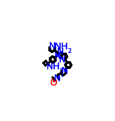 CC(=O)/[N+](C)=C/C1CCN(c2cccc(-c3ccc4nc(-c5cccnc5N)n(-c5ccc(C6(N)CCC6)cc5)c4n3)c2)C1